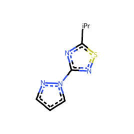 CC(C)c1nc(-n2cccn2)ns1